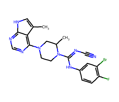 Cc1c[nH]c2ncnc(N3CCN(C(=NC#N)Nc4ccc(F)c(Br)c4)C(C)C3)c12